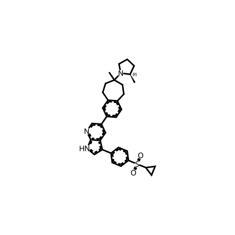 C[C@@H]1CCCN1C1(C)CCc2ccc(-c3cnc4[nH]cc(-c5ccc(S(=O)(=O)C6CC6)cc5)c4c3)cc2CC1